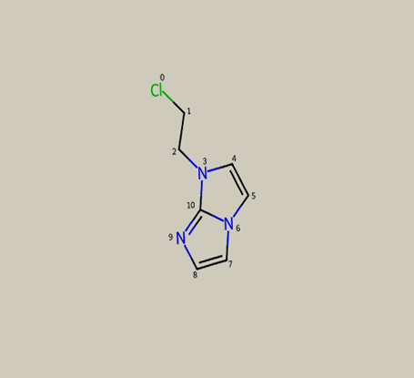 ClCCn1ccn2ccnc12